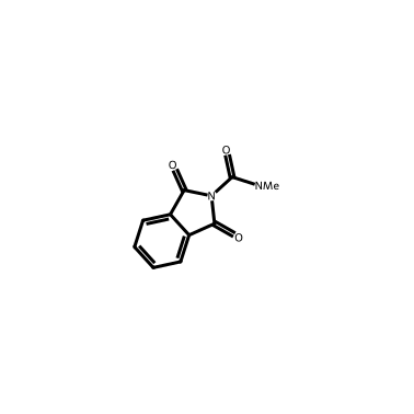 CNC(=O)N1C(=O)c2ccccc2C1=O